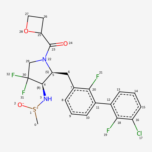 C[S+]([O-])N[C@@H]1[C@H](Cc2cccc(-c3cccc(Cl)c3F)c2F)N(C(=O)C2CCO2)CC1(F)F